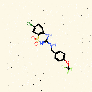 O=S1(=O)N=C(NCc2ccc(OC(F)(F)F)cc2)Nc2ccc(Cl)cc21